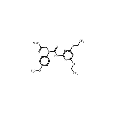 COC(=O)CN(C(=O)Nc1nc(OCC(F)(F)F)cc(OCC(F)(F)F)n1)c1ccc(OC(F)(F)F)cc1